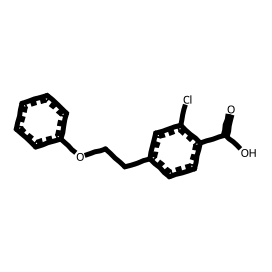 O=C(O)c1ccc(CCOc2ccccc2)cc1Cl